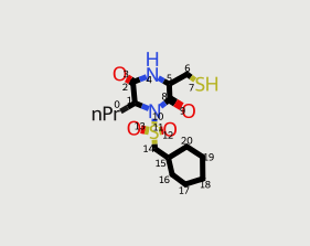 CCCC1C(=O)NC(CS)C(=O)N1S(=O)(=O)CC1CCCCC1